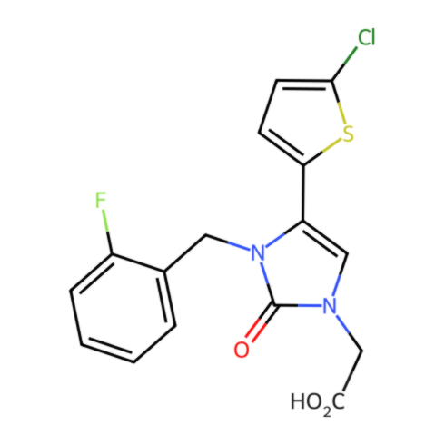 O=C(O)Cn1cc(-c2ccc(Cl)s2)n(Cc2ccccc2F)c1=O